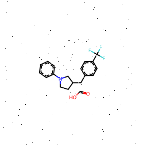 FC(F)(F)c1ccc(CC2CCN(c3ccccc3)C2)cc1.O=CO